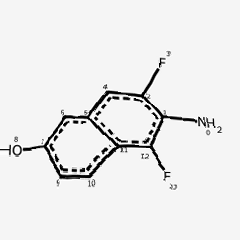 Nc1c(F)cc2cc(O)ccc2c1F